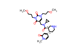 COCCCn1cc(CN(C(=O)[C@H]2CNCC[C@@H]2c2ccn(C)c(=O)c2)C2CC2)c(=O)n(CCCOC)c1=O